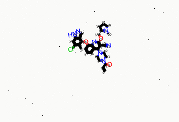 C=CC(=O)N1CCN(c2c(C#N)c(OC[C@@H]3CCCN3C)nc3c(Oc4c(C)c(Cl)cc5[nH]ncc45)cccc23)CC1